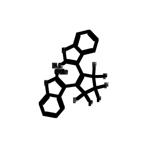 COc1sc2ccccc2c1C1=C(c2c(C)sc3ccccc23)C(F)(F)C(F)(F)C1(F)F